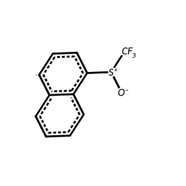 [O-][S+](c1cc[c]c2ccccc12)C(F)(F)F